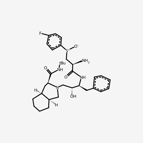 CC(C)(C)NC(=O)[C@@H]1C[C@@H]2CCCC[C@@H]2CN1C[C@@H](O)[C@H](Cc1ccccc1)NC(=O)[C@H](N)C[S+]([O-])c1ccc(F)cc1